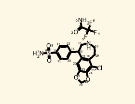 NC(=O)C(F)(F)F.NS(=O)(=O)c1ccc(C2CNCCc3c2cc2c(c3Cl)OCO2)cc1